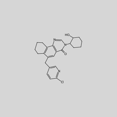 O=c1c2cc(Cc3ccc(Cl)nc3)c3c(c2ncn1C1CCCCC1O)CCCC3